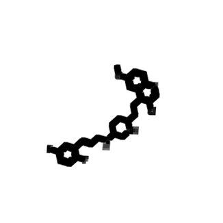 COc1ccc2ncc(Cl)c(CCC3CCC(NC/C=C/c4cc(F)ccc4F)CN3)c2c1